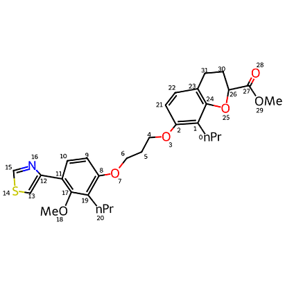 CCCc1c(OCCCOc2ccc(-c3cscn3)c(OC)c2CCC)ccc2c1OC(C(=O)OC)CC2